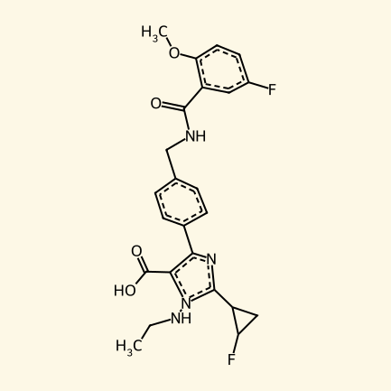 CCNn1c(C2CC2F)nc(-c2ccc(CNC(=O)c3cc(F)ccc3OC)cc2)c1C(=O)O